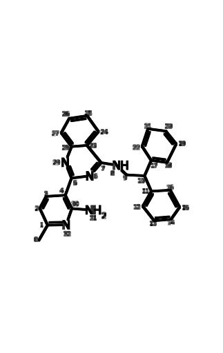 Cc1ccc(-c2nc(NCC(c3ccccc3)c3ccccc3)c3ccccc3n2)c(N)n1